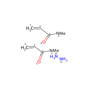 C=CC(=O)NC.C=CC(=O)NC.N.N